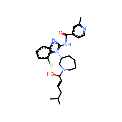 Cc1cc(C(=O)Nc2nc3cccc(Cl)c3n2[C@@H]2CCCCN(C(O)/C=C/CC(C)C)C2)ccn1